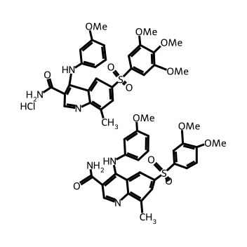 COc1cccc(Nc2c(C(N)=O)cnc3c(C)cc(S(=O)(=O)c4cc(OC)c(OC)c(OC)c4)cc23)c1.COc1cccc(Nc2c(C(N)=O)cnc3c(C)cc(S(=O)(=O)c4ccc(OC)c(OC)c4)cc23)c1.Cl